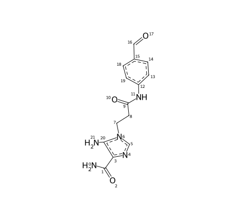 NC(=O)c1ncn(CCC(=O)Nc2ccc(C=O)cc2)c1N